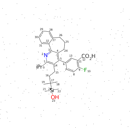 CC(C)c1nc2c(c(-c3ccc(F)c(C(=O)O)c3)c1CCC(C)(C)[Si](C)(C)O)CCCc1ccccc1-2